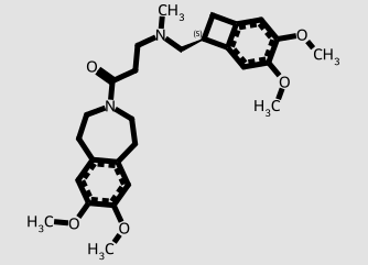 COc1cc2c(cc1OC)CCN(C(=O)CCN(C)C[C@H]1Cc3cc(OC)c(OC)cc31)CC2